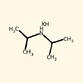 CC(C)NC(C)C.[KH]